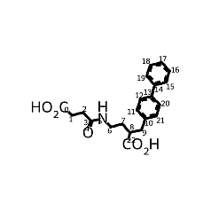 O=C(O)CCC(=O)NCCC(Cc1ccc(-c2ccccc2)cc1)C(=O)O